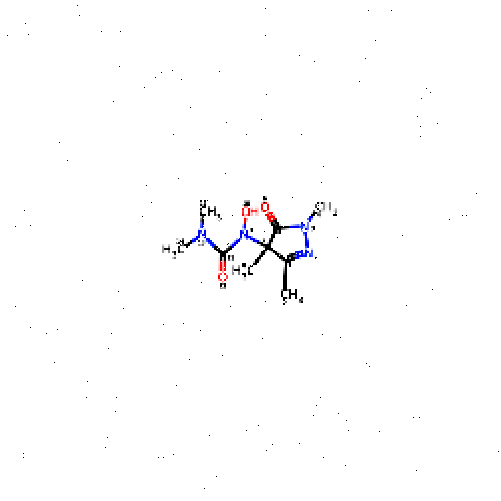 CC1=NN(C)C(=O)C1(C)N(O)C(=O)N(C)C